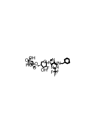 O=P(O)(O)CP(=O)(O)OC[C@H]1CO[C@@H](n2cnc3c(NCc4ccccc4)nc(C(F)(F)F)nc32)[C@@H](F)[C@@H]1O